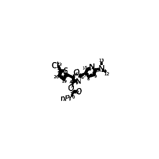 CCCC(=O)Oc1nc(-c2ccc(N(C)C)nc2)oc1-c1ccc(Cl)s1